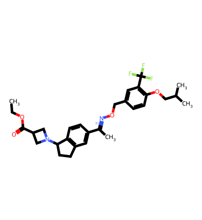 CCOC(=O)C1CN(C2CCc3cc(/C(C)=N/OCc4ccc(OCC(C)C)c(C(F)(F)F)c4)ccc32)C1